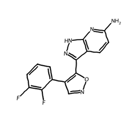 Nc1ccc2c(-c3oncc3-c3cccc(F)c3F)n[nH]c2n1